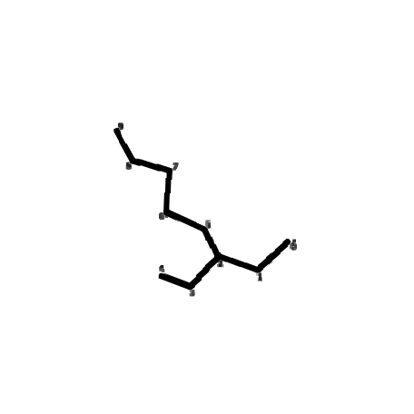 [CH2]CC(CC)C[CH]CCC